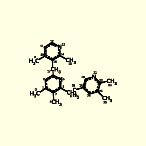 Cc1ccnc(C)c1C.Cc1ccnc(C)c1C.Cc1cnc(C)c(C)c1